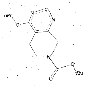 CCCOc1ncnc2c1CCN(C(=O)OC(C)(C)C)C2